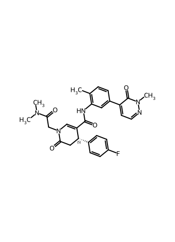 Cc1ccc(-c2ccnn(C)c2=O)cc1NC(=O)C1=CN(CC(=O)N(C)C)C(=O)C[C@H]1c1ccc(F)cc1